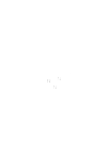 C=Cc1ccccc1-c1ncncn1.c1ccccc1